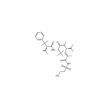 CN[C@H](C(=O)N[C@H](C(=O)N(C)[C@H](/C=C(\C)C(=O)NS(=O)(=O)CCS)C(C)C)C(C)(C)C)C(C)(C)c1ccccc1